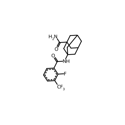 NC(=O)C12CC3CC(CC(NC(=O)c4cccc(C(F)(F)F)c4F)(C3)C1)C2